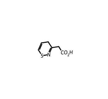 O=C(O)CC1=NSC=CC1